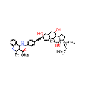 CCc1nc2ccccc2c(NCc2ccc(C#C[C@@]3(O)CC[C@@]4(C)C(C[C@@H](O)C5C4C[C@H](O)[C@@]4(C)C5CC[C@@H]4C(C)CCC(=O)O)C3)cc2)c1C(=O)OC